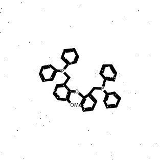 COc1cccc(CP(c2ccccc2)c2ccccc2)c1Oc1ccccc1CP(c1ccccc1)c1ccccc1